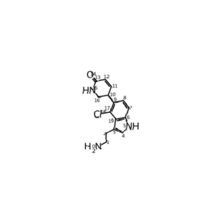 NCCc1c[nH]c2ccc(C3C=CC(=O)NC3)c(Cl)c12